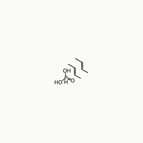 CC=CC.CC=CC.O=[PH](O)O